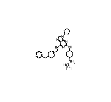 Cl.Cl.Cl.NC1CCC(Nc2nc(NCN3CCC(Cc4ccccc4)CC3)c3ncn(C4CCCC4)c3n2)CC1